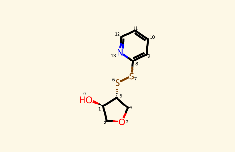 O[C@@H]1COC[C@H]1SSc1ccccn1